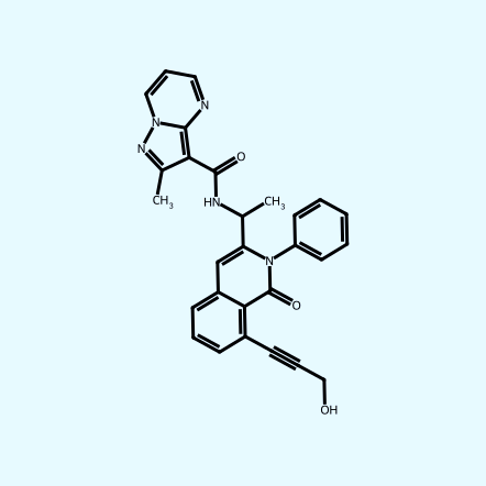 Cc1nn2cccnc2c1C(=O)NC(C)c1cc2cccc(C#CCO)c2c(=O)n1-c1ccccc1